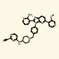 COc1cnccc1-c1ccc2nc(-c3cccnc3N)n(-c3ccc(CN4CCC(Nc5ccnc(C#N)n5)CC4)cc3)c2n1